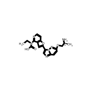 CCN(C(=O)O)c1nccc2oc(-c3cnc4ccc(OC[C@H](C)N)nn34)cc12